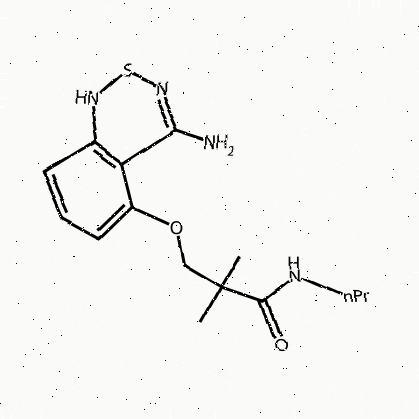 CCCNC(=O)C(C)(C)COc1cccc2c1C(N)=NSN2